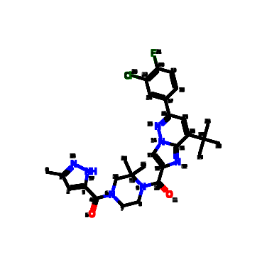 Cc1cc(C(=O)N2CCN(C(=O)c3cn4nc(-c5ccc(F)c(Cl)c5)cc(C(C)(C)C)c4n3)C(C)(C)C2)[nH]n1